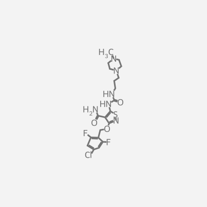 CN1CCN(CCCNC(=O)Nc2snc(OCc3c(F)cc(Cl)cc3F)c2C(N)=O)CC1